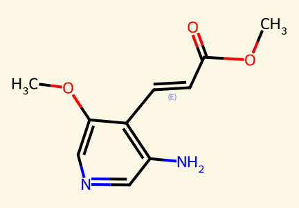 COC(=O)/C=C/c1c(N)cncc1OC